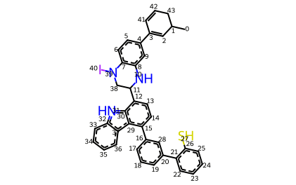 CC1C=C(c2ccc3c(c2)NC(c2ccc(-c4cccc(-c5ccccc5S)c4)c4c2[nH]c2ccccc24)CN3I)C=CC1